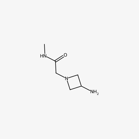 CNC(=O)CN1CC(N)C1